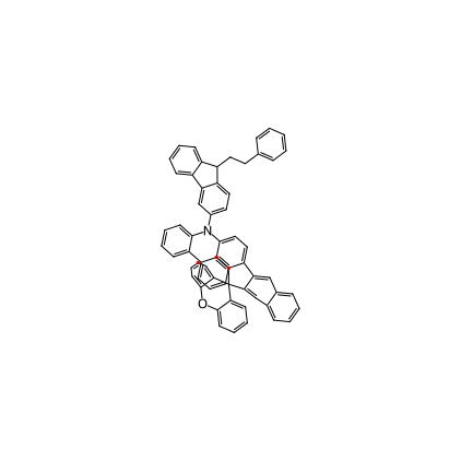 c1ccc(CCC2c3ccccc3-c3cc(N(c4ccc5c(c4)C4(c6ccccc6Oc6ccccc64)c4cc6ccccc6cc4-5)c4ccccc4-c4ccccc4)ccc32)cc1